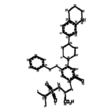 CN(C)S(=O)(=O)N[C@@H](Cn1cc(CCc2ccccc2)c(N2CCC(c3ccc4c(n3)NCCC4)CC2)nc1=O)C(=O)O